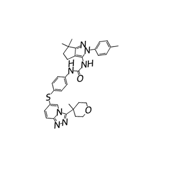 Cc1ccc(-n2nc3c(c2NC(=O)Nc2ccc(Sc4ccc5nnc(C6(C)CCOCC6)n5c4)cc2)CCC3(C)C)cc1